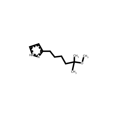 COC(C)(C)CCCCc1cc[nH]n1